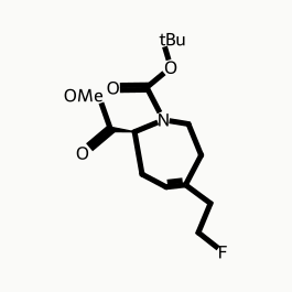 COC(=O)[C@@H]1CC=C(CCF)CCN1C(=O)OC(C)(C)C